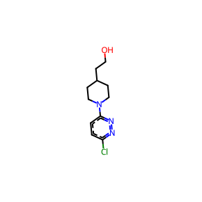 OCCC1CCN(c2ccc(Cl)nn2)CC1